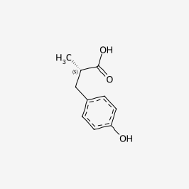 C[C@@H](Cc1ccc(O)cc1)C(=O)O